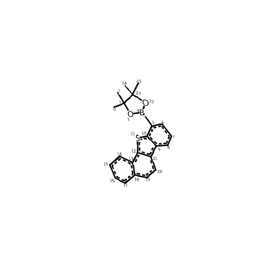 CC1(C)OB(c2cccc3c2sc2c4ccccc4ccc32)OC1(C)C